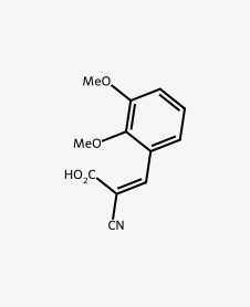 COc1cccc(C=C(C#N)C(=O)O)c1OC